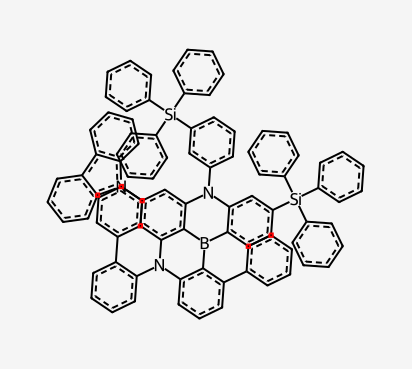 c1ccc(-c2ccccc2N2c3cccc(-c4ccccc4)c3B3c4ccc([Si](c5ccccc5)(c5ccccc5)c5ccccc5)cc4N(c4cccc([Si](c5ccccc5)(c5ccccc5)c5ccccc5)c4)c4cc(-n5c6ccccc6c6ccccc65)cc2c43)cc1